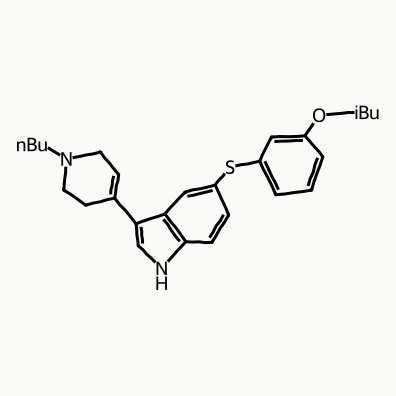 CCCCN1CC=C(c2c[nH]c3ccc(Sc4cccc(OC(C)CC)c4)cc23)CC1